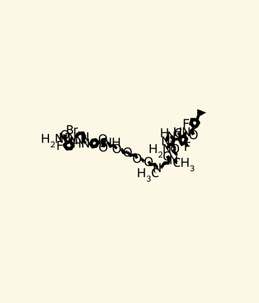 Cc1c(NC(=O)c2ccc(C3CC3)cc2F)cc(F)cc1-c1ncnc(N)c1OCCN(C)C(=O)/C=C/CN(C)CCOCCOCCOCCOCCNS(=O)(=O)c1ccc(Nc2ncc(Br)c(Nc3cccc(F)c3C(N)=O)n2)cc1